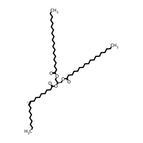 CCCCCCCC/C=C\CCCCCCCC(=O)O[C@H](COC(=O)CCCCCCCCCCCCCCCCC)COC(=O)CCCCCCCCCCCCCCCCCCC